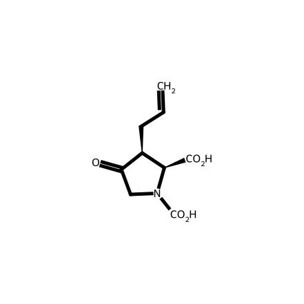 C=CC[C@@H]1C(=O)CN(C(=O)O)[C@@H]1C(=O)O